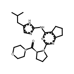 CC(C)Cc1cnc(Nc2nc(N3CCC[C@H]3C(=O)N3CCOCC3)nc3c2CCC3)[nH]1